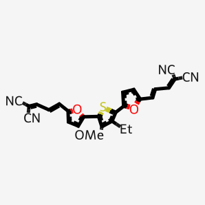 CCc1c(-c2ccc(/C=C/C=C(C#N)C#N)o2)sc(-c2ccc(/C=C/C=C(C#N)C#N)o2)c1OC